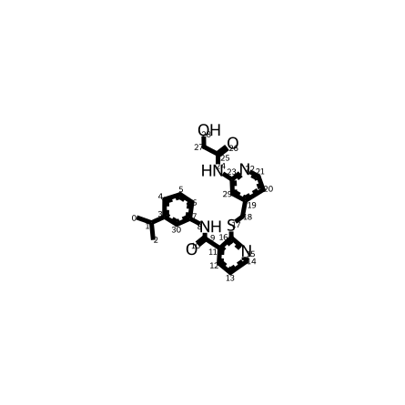 CC(C)c1cccc(NC(=O)c2cccnc2SCc2ccnc(NC(=O)CO)c2)c1